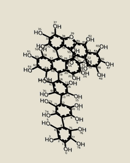 Oc1c(O)c(O)c(-c2c(O)c(O)c(-c3c(O)c(O)c(-c4c5c(O)c(O)c(O)c(O)c5c(-c5c(O)c(O)c(O)c6oc7c(O)c8c(O)c(O)c(O)c(O)c8c(O)c7c56)c5c(O)c(O)c(O)c(O)c45)c(O)c3O)c(O)c2O)c(O)c1O